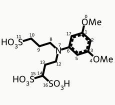 COc1cc(OC)cc(N(CCCS(=O)(=O)O)CCC(S(=O)(=O)O)S(=O)(=O)O)c1